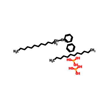 CCC.CCCCCCCCCCCC.CCCCCCCCCCCC.OP(O)O.OP(O)O.c1ccccc1.c1ccccc1